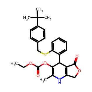 CCOC(=O)OC1=C(C)NC2=C(C(=O)OC2)C1c1ccccc1SCc1ccc(C(C)(C)C)cc1